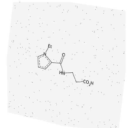 CCn1cccc1C(=O)NCCC(=O)O